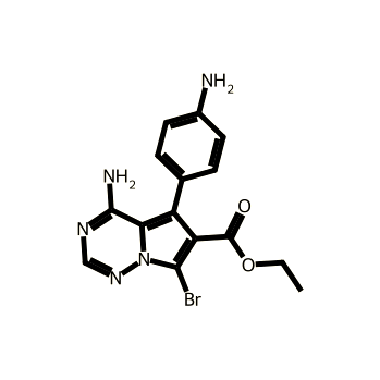 CCOC(=O)c1c(-c2ccc(N)cc2)c2c(N)ncnn2c1Br